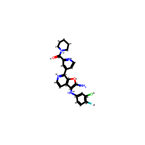 Nc1oc2c(-c3ccnc(C(=O)N4CCCCC4)c3)nccc2c1Nc1ccc(F)c(Cl)c1